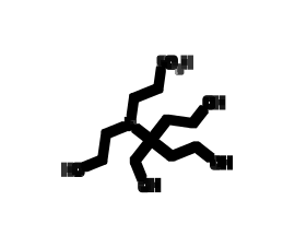 O=S(=O)(O)CCN(CCO)C(CO)(CCO)CCO